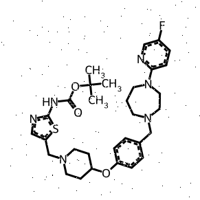 CC(C)(C)OC(=O)Nc1ncc(CN2CCC(Oc3ccc(CN4CCCN(c5ccc(F)cn5)CC4)cc3)CC2)s1